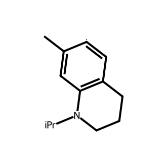 Cc1[c]cc2c(c1)N(C(C)C)CCC2